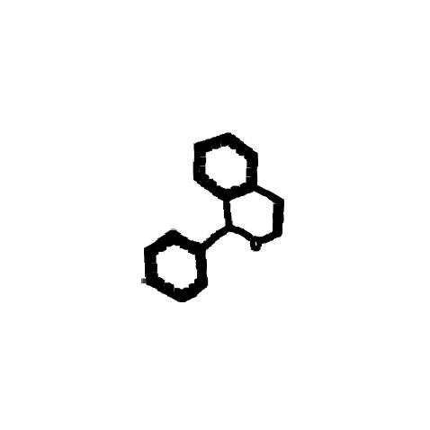 [c]1ccc(C2OC=Cc3ccccc32)cc1